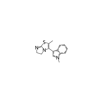 CC1=C(c2cn(C)c3ccccc23)N2CCN=C2S1